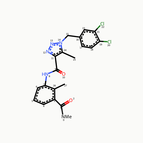 CNC(=O)c1cccc(NC(=O)c2nnn(Cc3ccc(Cl)c(Cl)c3)c2C)c1C